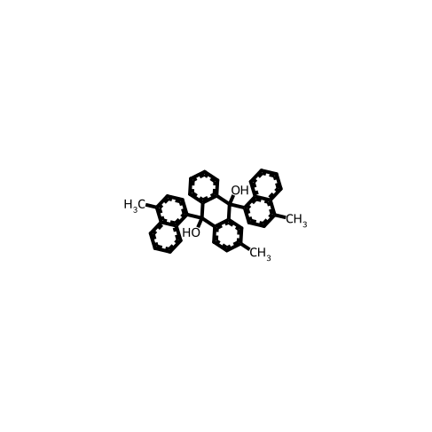 Cc1ccc2c(c1)C(O)(c1ccc(C)c3ccccc13)c1ccccc1C2(O)c1ccc(C)c2ccccc12